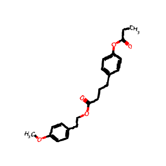 CCC(=O)Oc1ccc(CCCC(=O)OCCc2ccc(OC)cc2)cc1